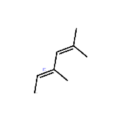 [CH2]/C=C(\C)C=C(C)C